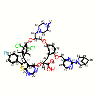 Cc1c(Cl)c2c(Cl)c(C)c1-c1c(-c3ccc(F)cc3)sc3ncnc(c13)O[C@@H](C(=O)O)Cc1cc(ccc1OCc1ccnc(N3CC4CC(C4)C3)n1)OCC(CN1CCN(C)CC1)O2